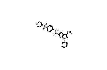 Cc1nn(-c2ccccc2)c2sc(C(=O)Nc3ccc(S(=O)(=O)N4CCOCC4)cc3)cc12